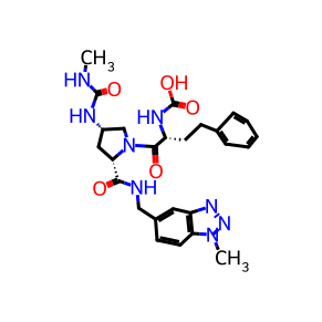 CNC(=O)N[C@H]1C[C@@H](C(=O)NCc2ccc3c(c2)nnn3C)N(C(=O)[C@@H](CCc2ccccc2)NC(=O)O)C1